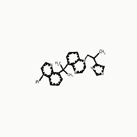 CC(C)c1ccnc2c(C(C)(C)c3cccc4c3ncc[n+]4CC(C)c3cocn3)cccc12